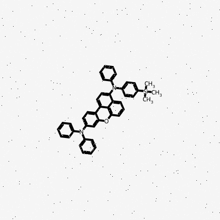 C[Si](C)(C)c1ccc(N(c2ccccc2)c2ccc3c4c(cccc24)Oc2cc(N(c4ccccc4)c4ccccc4)ccc2-3)cc1